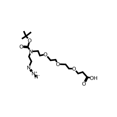 CC(C)(C)OC(=O)N(CCN=[N+]=[N-])CCOCCOCCOCCC(=O)O